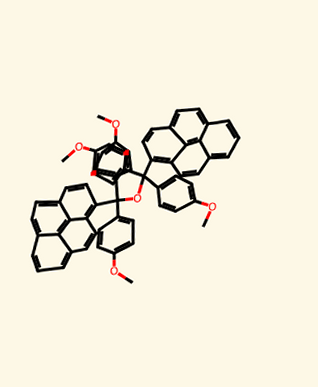 COc1ccc(C(OC(c2ccc(OC)cc2)(c2ccc(OC)cc2)c2ccc3ccc4cccc5ccc2c3c45)(c2ccc(OC)cc2)c2ccc3ccc4cccc5ccc2c3c45)cc1